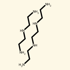 NCCNCCN.NCCNCCNCCN